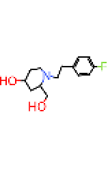 OCC1CC(O)CCN1CCc1ccc(F)cc1